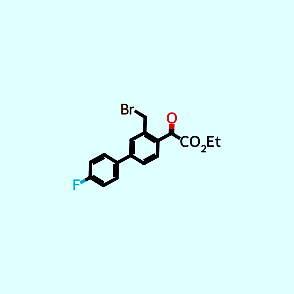 CCOC(=O)C(=O)c1ccc(-c2ccc(F)cc2)cc1CBr